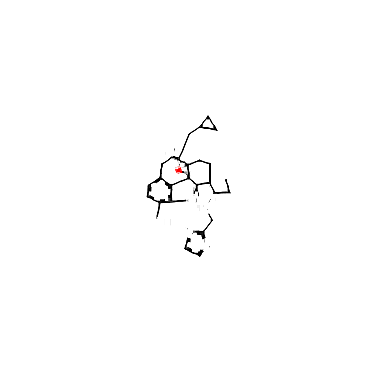 Cn1ccnc1CN[C@@H]1CC[C@]12CC[C@@]1(O)[C@H]3Cc4ccc(O)c5c4[C@@]1(CCN3CC1CC1)[C@H]2O5